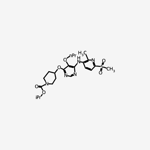 CCCOc1c(Nc2ccc(S(C)(=O)=O)nc2C)ncnc1OC1CCN(C(=O)OC(C)C)CC1